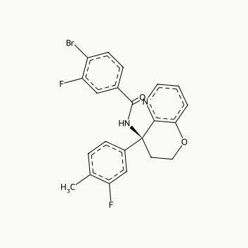 Cc1ccc([C@@]2(NC(=O)c3ccc(Br)c(F)c3)CCOc3cccnc32)cc1F